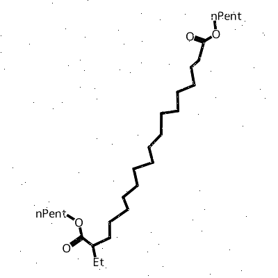 CCCCCOC(=O)CCCCCCCCCCCCCCCC(CC)C(=O)OCCCCC